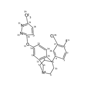 Fc1ccc(C23CCN(CC2)Cc2cc(Oc4ccc(C(F)(F)F)nn4)ccc23)cc1Cl